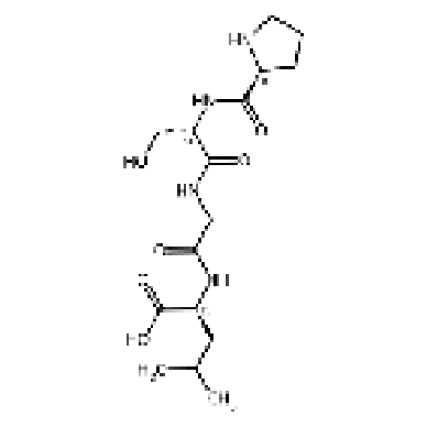 CC(C)C[C@H](NC(=O)CNC(=O)[C@H](CO)NC(=O)[C@@H]1CCCN1)C(=O)O